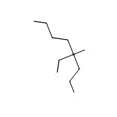 CCCCC(O)(CN)CCC